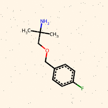 CC(C)(N)COCc1ccc(F)cc1